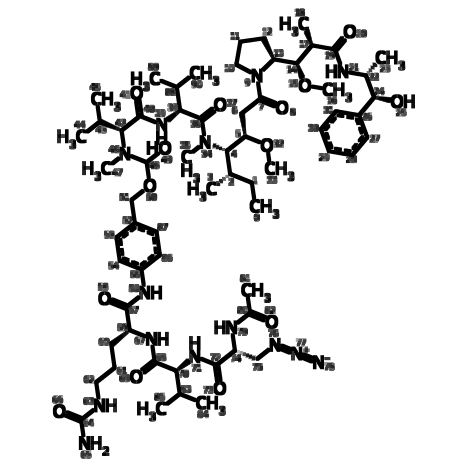 CC[C@H](C)[C@@H]([C@@H](CC(=O)N1CCC[C@H]1[C@H](OC)[C@@H](C)C(=O)N[C@H](C)[C@@H](O)c1ccccc1)OC)N(C)C(=O)[C@@H](NC(=O)[C@H](C(C)C)N(C)C(O)OCc1ccc(NC(=O)[C@H](CCCNC(N)=O)NC(=O)[C@@H](NC(=O)[C@@H](CN=[N+]=[N-])NC(C)=O)C(C)C)cc1)C(C)C